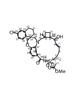 COC(=O)C[C@H]1[C@@H](C)C/C=C/[C@H](O)[C@@H]2CC[C@H]2CN2C[C@@]3(CCCc4cc(Cl)ccc43)COc3ccc(cc32)C(=O)NS1(=O)=O